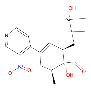 C[C@H]1CC(c2ccncc2[N+](=O)[O-])=C[C@@H](CC(C)(C)[Si](C)(C)O)[C@@]1(O)C=O